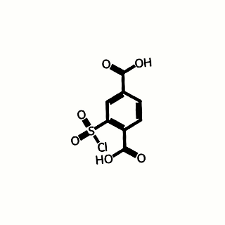 O=C(O)c1ccc(C(=O)O)c(S(=O)(=O)Cl)c1